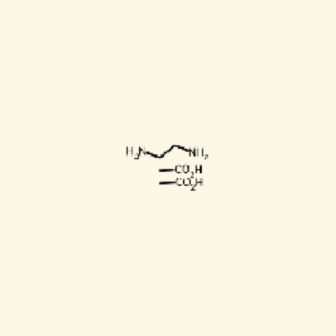 CC(=O)O.CC(=O)O.NCCN